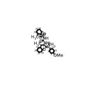 COc1ccc(N(C)C(=O)[C@@H](NC(=O)NS(=O)(=O)c2ccccc2C)[C@@H](C)c2ccccc2)cc1